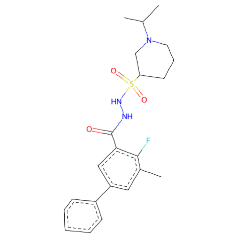 Cc1cc(-c2ccccc2)cc(C(=O)NNS(=O)(=O)C2CCCN(C(C)C)C2)c1F